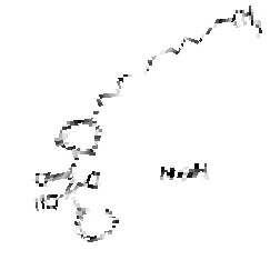 CCCCCCCCCCc1ccc(C(=O)P(=O)(O)c2ccccc2)cc1.[NaH]